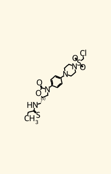 CCC(=S)NC[C@H]1CN(c2ccc(N3CCN(S(=O)(=O)CCl)CC3)cc2)C(=O)O1